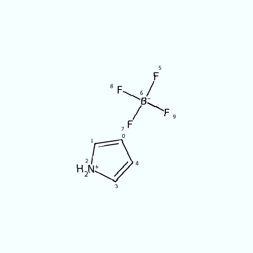 C1=C[NH2+]C=C1.F[B-](F)(F)F